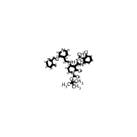 COc1c(Cl)cccc1NC(=S)C1=C(NCc2ccncc2OCc2ncccc2F)CCN(C(=O)OC(C)(C)C)C1=O